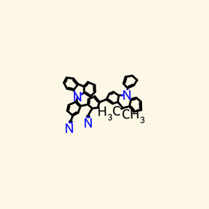 CC1(C)c2ccccc2N(C2=CCCC=C2)C2C=CC(C3=CC=C(c4cc(C#N)ccc4-n4c5ccccc5c5ccccc54)C(C#N)C3)=CC21